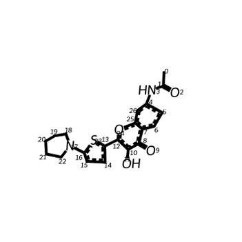 CC(=O)Nc1ccc2c(=O)c(O)c(-c3ccc(N4CCCCC4)s3)oc2c1